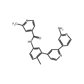 Cc1ccc(NC(=O)c2ccnc(C(F)(F)F)c2)cc1-c1ccnc(-c2ccnc(N)c2)c1